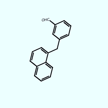 O=Cc1cccc(Cc2cccc3ccccc23)c1